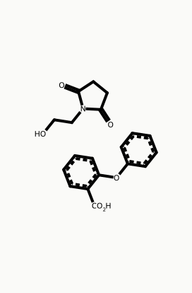 O=C(O)c1ccccc1Oc1ccccc1.O=C1CCC(=O)N1CCO